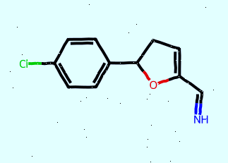 N=CC1=CCC(c2ccc(Cl)cc2)O1